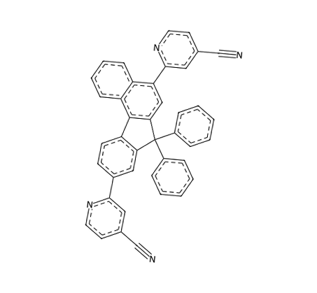 N#Cc1ccnc(-c2ccc3c(c2)C(c2ccccc2)(c2ccccc2)c2cc(-c4cc(C#N)ccn4)c4ccccc4c2-3)c1